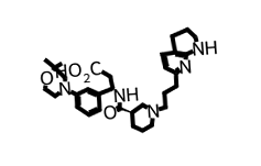 CC1(C)CN(c2cccc(C(CC(=O)O)NC(=O)[C@@H]3CCCN(CCCc4ccc5c(n4)NCCC5)C3)c2)CCO1